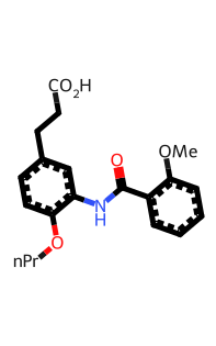 CCCOc1ccc(CCC(=O)O)cc1NC(=O)c1ccccc1OC